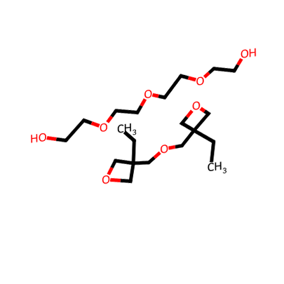 CCC1(COCC2(CC)COC2)COC1.OCCOCCOCCOCCO